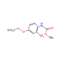 CCOC(=O)COc1ccc(NC(=O)OC(C)(C)C)c(C(F)(F)F)c1